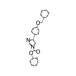 O=C(Oc1ccccc1)n1cnc(-c2ccc(OCc3ccccc3)cc2)c1